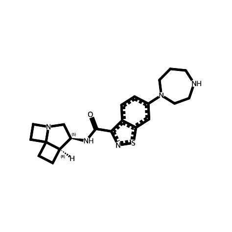 O=C(N[C@@H]1CN2CCC23CC[C@H]13)c1nsc2cc(N3CCCNCC3)ccc12